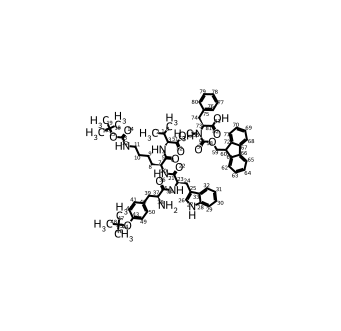 CC(C)[C@H](NC(=O)[C@H](CCCCNC(=O)OC(C)(C)C)NC(=O)[C@@H](Cc1c[nH]c2ccccc12)NC(=O)[C@@H](N)Cc1ccc(OC(C)(C)C)cc1)C(=O)O.CN(C(=O)OCC1c2ccccc2-c2ccccc21)[C@@H](Cc1ccccc1)C(=O)O